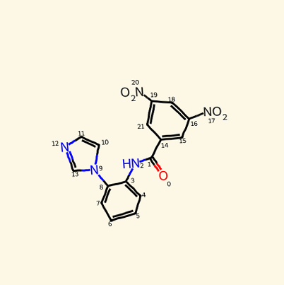 O=C(Nc1ccccc1-n1ccnc1)c1cc([N+](=O)[O-])cc([N+](=O)[O-])c1